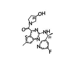 Cc1cc2nc(N[C@@H](C)c3cncc(F)c3)nc(C(=O)N3CC[C@@H](O)C3)c2s1